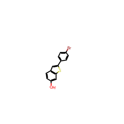 Oc1ccc2cc(-c3ccc(Br)cc3)sc2c1